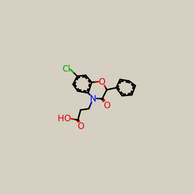 O=C(O)CCN1C(=O)C(c2ccccc2)Oc2cc(Cl)ccc21